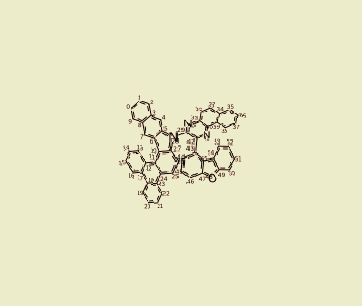 c1ccc2cc3c(cc2c1)c1c2c4ccccc4c4ccccc4c2ccc1n3-c1nc2ccc3ccccc3c2nc1-c1cccc2oc3ccccc3c12